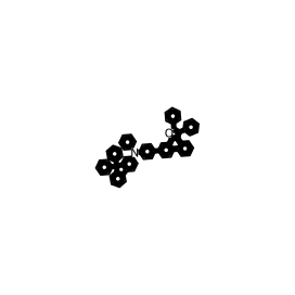 c1ccc(-c2oc3c4cc(-c5ccc(N(c6ccccc6)c6ccc7c(c6)C(c6ccccc6)(c6ccccc6)c6ccccc6-7)cc5)ccc4c4ccccc4c3c2-c2ccccc2)cc1